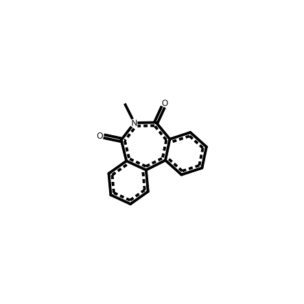 Cn1c(=O)c2ccccc2c2ccccc2c1=O